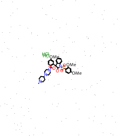 COc1cccc(C2(OC(=O)N3CCN(C4CCN(C)CC4)CC3)C(=O)N(S(=O)(=O)c3ccc(OC)cc3OC)c3ccccc32)c1.Cl.Cl